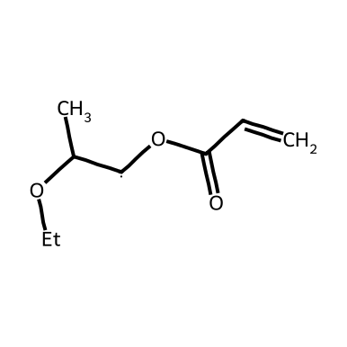 C=CC(=O)O[CH]C(C)OCC